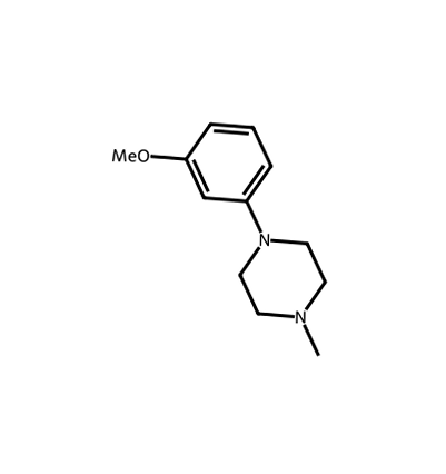 COc1cccc(N2CCN(C)CC2)c1